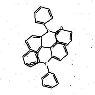 O=Cc1cccc(P(c2ccccc2)c2ccccc2)c1-c1c(C=O)cccc1P(c1ccccc1)c1ccccc1